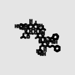 COC(=O)[C@H](CC(C)C)NC(=O)[C@H](Cc1c[nH]cn1)NC(=O)[C@@H](C)NC(=O)[C@@H](NC(=O)[C@H](C)NC(=O)[C@H](Cc1c[nH]c2ccccc12)NC(=O)[C@H](Cc1c[nH]cn1)NC(=O)CCc1ccccc1)C(C)C